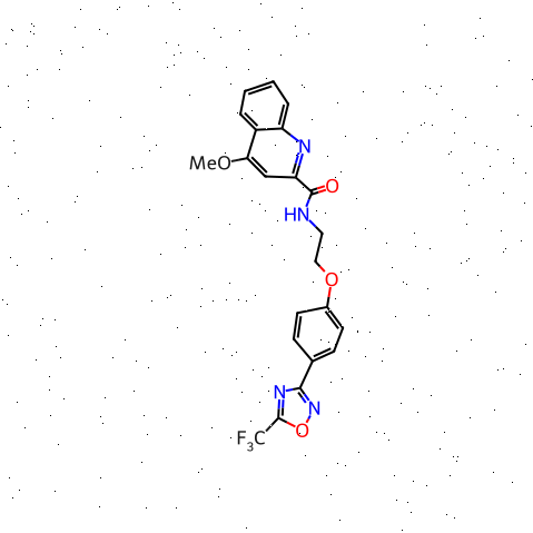 COc1cc(C(=O)NCCOc2ccc(-c3noc(C(F)(F)F)n3)cc2)nc2ccccc12